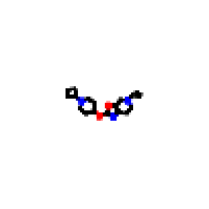 CCCN1CCc2nc(OC3CCN(C4CCC4)CC3)oc2C1